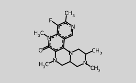 Cc1ncc2c3c(c(=O)n(C)c2c1F)N(C)CC1CN(C)C(C)CN31